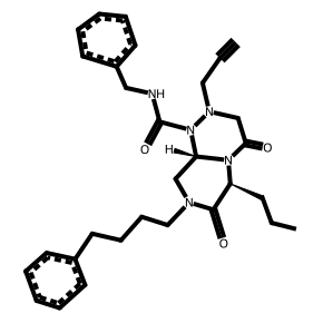 C#CCN1CC(=O)N2[C@@H](CCC)C(=O)N(CCCCc3ccccc3)C[C@@H]2N1C(=O)NCc1ccccc1